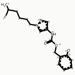 CC(F)CCCCn1cc(NC(=O)OCc2ccccc2Cl)cn1